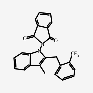 Cc1c(Cc2ccccc2C(F)(F)F)n(N2C(=O)c3ccccc3C2=O)c2ccccc12